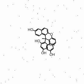 CC1(c2c(O)cc(O)cc2O)c2c(ccc3cc(O)ccc23)Oc2ccc3cc(O)ccc3c21